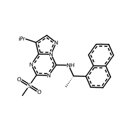 CC(C)c1cnn2c(N[C@@H](C)c3cccc4ccccc34)nc(S(C)(=O)=O)nc12